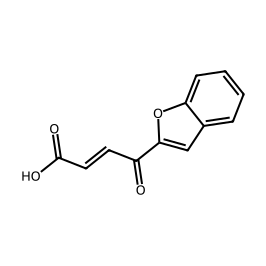 O=C(O)C=CC(=O)c1cc2ccccc2o1